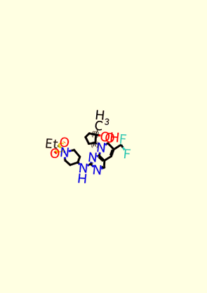 CCS(=O)(=O)N1CCC(Nc2ncc3cc(C(F)F)c(=O)n([C@@H]4CCC[C@@]4(C)O)c3n2)CC1